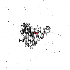 C[C@@H]1CCN(C(=O)[C@H]2CCCOC2)C[C@@H]1c1nc(-c2c[nH]c3ncc4cnc([C@H]5CN(C(=O)[C@@H]6CCCOC6)CC[C@H]5C)n4c23)c2cnc3[nH]ccc3n12